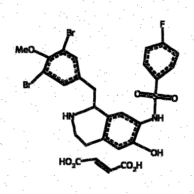 COc1c(Br)cc(CC2NCCc3cc(O)c(NS(=O)(=O)c4ccc(F)cc4)cc32)cc1Br.O=C(O)C=CC(=O)O